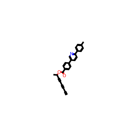 C#CC#CC#CC(C)OC(=O)c1ccc(-c2ccc(-c3ccc(C)cc3)nc2)cc1